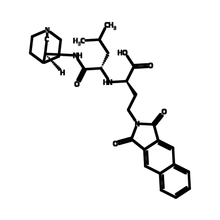 CC(C)C[C@H](N[C@H](CCN1C(=O)c2cc3ccccc3cc2C1=O)C(=O)O)C(=O)N[C@@H]1CN2CCC1CC2